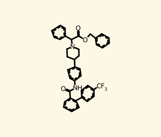 O=C(Nc1ccc(C2CCN(C(C(=O)OCc3ccccc3)c3ccccc3)CC2)cc1)c1ccccc1-c1ccc(C(F)(F)F)cc1